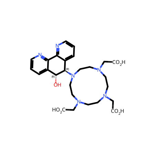 O=C(O)CN1CCN(CC(=O)O)CCN([C@@H]2c3cccnc3-c3ncccc3[C@H]2O)CCN(CC(=O)O)CC1